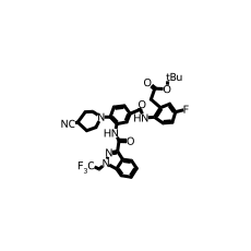 CC(C)(C)OC(=O)Cc1cc(F)ccc1NC(=O)c1ccc(N2CCC(C#N)CC2)c(NC(=O)c2nn(CC(F)(F)F)c3ccccc23)c1